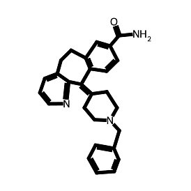 NC(=O)c1ccc2c(c1)CCc1cccnc1C2=C1CCN(Cc2ccccc2)CC1